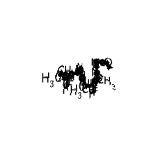 COC1(c2ccc(-c3cc4c(N5CCN(C(=O)C6CC6)CC5)ccnn4c3)nc2)CCN([C@@H](CCC(C)NC(=O)N2CCN(c3ccnn4cc(-c5ccc(C6(COC(F)F)CCN(C(C)C)CC6)cc5)cc34)CC2)COC(F)F)CC1